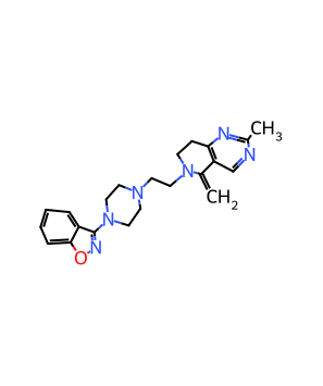 C=C1c2cnc(C)nc2CCN1CCN1CCN(c2noc3ccccc23)CC1